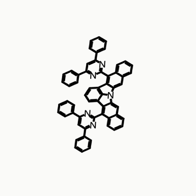 c1ccc(-c2cc(-c3ccccc3)nc(-c3c4ccccc4cc4c3c3cccc5c6c(-c7nc(-c8ccccc8)cc(-c8ccccc8)n7)c7ccccc7cc6n4c35)n2)cc1